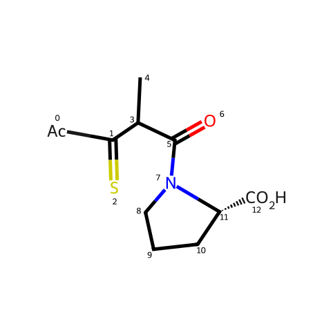 CC(=O)C(=S)C(C)C(=O)N1CCC[C@H]1C(=O)O